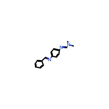 CN(C)C=Nc1ccc(N=Cc2ccccc2)cc1